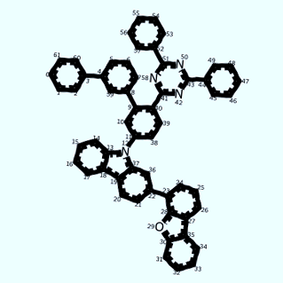 c1ccc(-c2cccc(-c3cc(-n4c5ccccc5c5ccc(-c6cccc7c6oc6ccccc67)cc54)ccc3-c3nc(-c4ccccc4)nc(-c4ccccc4)n3)c2)cc1